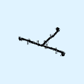 O=C(CCOCCOCCOCCNC(=O)CCOCC(COCCC(=O)NCCOCCOCCOCCC(=O)NCCCCCCCC(=O)ON1C(=O)CCC1=O)COCCC(=O)NCCOCCOCCOCCC(=O)NCCCCCCCC(=O)ON1C(=O)CCC1=O)NCCCCCCCC(=O)ON1C(=O)CCC1=O